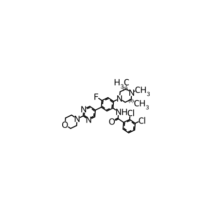 C[C@@H]1CN(c2cc(F)c(-c3cnc(N4CCOCC4)nc3)cc2NC(=O)c2cccc(Cl)c2Cl)C[C@H](C)N1C